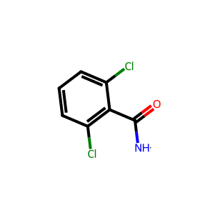 [NH]C(=O)c1c(Cl)cccc1Cl